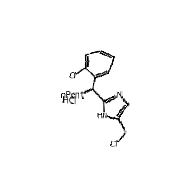 CCCCCC(c1ncc(CCl)[nH]1)c1ccccc1Cl.Cl